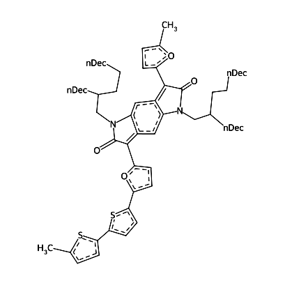 CCCCCCCCCCCCC(CCCCCCCCCC)CN1C(=O)C(c2ccc(C)o2)=c2cc3c(cc21)=C(c1ccc(-c2ccc(-c4ccc(C)s4)s2)o1)C(=O)N3CC(CCCCCCCCCC)CCCCCCCCCCCC